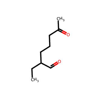 CCC(C=O)CCCC(C)=O